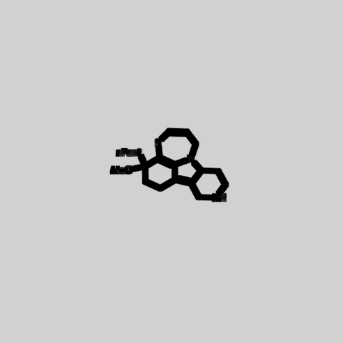 CCCCCC1(OC)CCC2=C3CNCCC3N3CC=CSC1=C23